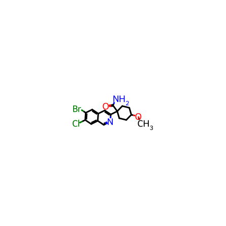 COC1CCC(C(N)=O)(c2cc3cc(Br)c(Cl)cc3cn2)CC1